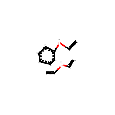 C=COC=C.C=COc1ccccc1